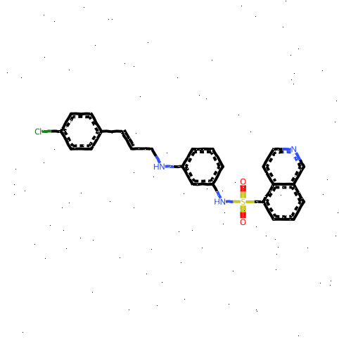 O=S(=O)(Nc1cccc(NCC=Cc2ccc(Cl)cc2)c1)c1cccc2cnccc12